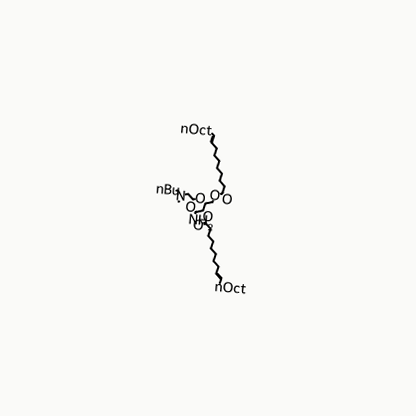 CCCCCCCCC=CCCCCCCCC(=O)OCC(OCCN(C)CCCC)C(OC(=O)CCCCCCCC=CCCCCCCCC)C(N)=O